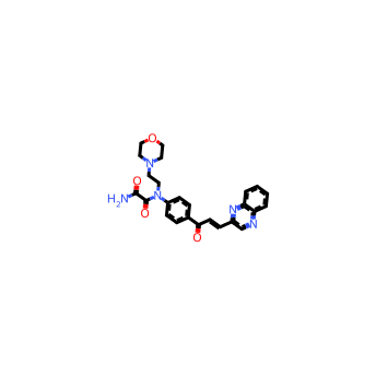 NC(=O)C(=O)N(CCN1CCOCC1)c1ccc(C(=O)C=Cc2cnc3ccccc3n2)cc1